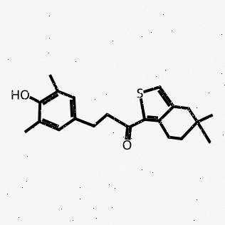 Cc1cc(CCC(=O)c2scc3c2CCC(C)(C)C3)cc(C)c1O